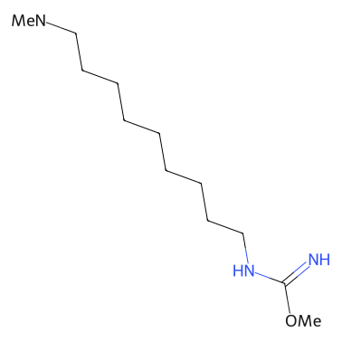 CNCCCCCCCCCNC(=N)OC